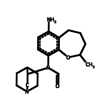 CC1CCCc2c(N)ccc(N(C=O)C3CN4CCC3CC4)c2O1